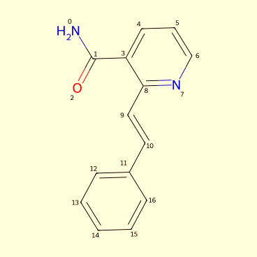 NC(=O)c1cccnc1C=Cc1ccccc1